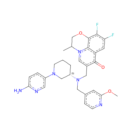 COc1cc(CN(Cc2cn3c4c(c(F)c(F)cc4c2=O)OCC3C)[C@H]2CCCN(c3ccc(N)nc3)C2)ccn1